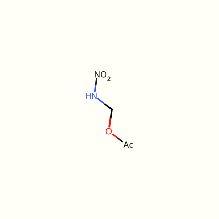 CC(=O)OCN[N+](=O)[O-]